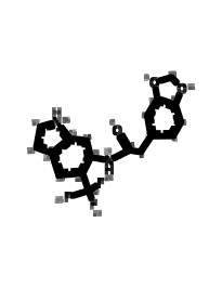 O=C(Cc1ccc2c(c1)OCO2)Nc1cc2[nH]ccc2cc1C(F)(F)F